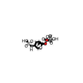 O=S(=O)(O)NC1CC2C(COS(=O)(=O)O)OC1CC2OS(=O)(=O)O